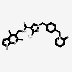 Cc1nc2[nH]ccc2c(C)c1CNC(=O)c1cn(Cc2ccc(Cn3ccccc3=O)cc2)nc1C(F)(F)F